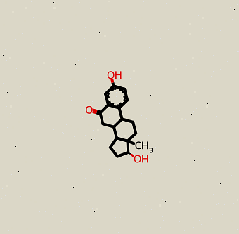 CC12CCC3c4ccc(O)cc4C(=O)CC3C1CC[C@@H]2O